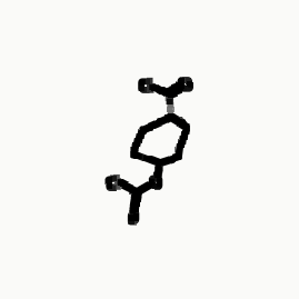 O=C(Cl)O[C@H]1CC[C@H](C(=O)Cl)CC1